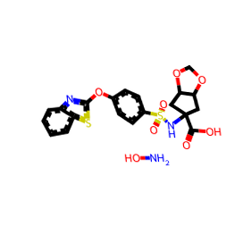 NO.O=C(O)C1(NS(=O)(=O)c2ccc(Oc3nc4ccccc4s3)cc2)CC2OCOC2C1